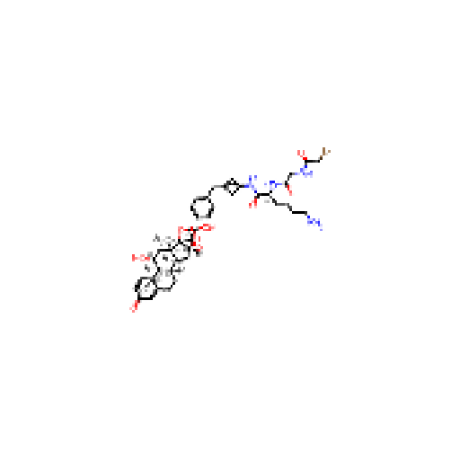 C[C@]12C=CC(=O)C=C1CC[C@@H]1[C@@H]2[C@@H](O)C[C@@]2(C)[C@H]1C[C@H]1O[C@@H](c3ccc(CC45CC(NC(=O)[C@H](CCCCN)NC(=O)CNC(=O)CBr)(C4)C5)cc3)O[C@]12C(=O)CO